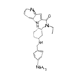 CCN(C(=O)c1cc2ncccc2[nH]1)C1CCCC(NCc2ccc(N)cc2)C1